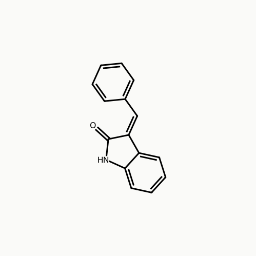 O=C1Nc2ccccc2C1=Cc1ccccc1